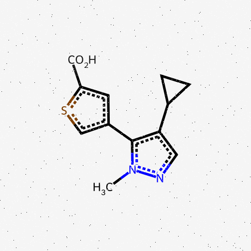 Cn1ncc(C2CC2)c1-c1csc(C(=O)O)c1